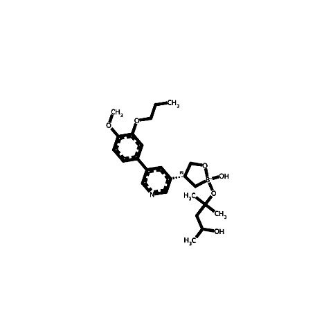 CCCOc1cc(-c2cncc([C@@H]3CO[B-](O)(OC(C)(C)CC(C)O)C3)c2)ccc1OC